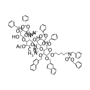 CC(=O)O[C@H]1[C@@H](O[C@@H]2O[C@@H]3CO[C@@H](c4ccccc4)O[C@H]3[C@H](OCc3ccccc3)[C@H]2O)[C@H](N=[N+]=[N-])[C@H](O[C@@H]2[C@@H](N=[N+]=[N-])[C@@H](O[C@@H]3[C@H](OCc4ccc5ccccc5c4)[C@@H](OCc4ccc5ccccc5c4)[C@@H](OCCCCCN(Cc4ccccc4)C(=O)OCc4ccccc4)O[C@@H]3COCc3ccccc3)O[C@@H]3CO[C@H](c4ccccc4)O[C@H]23)O[C@H]1C